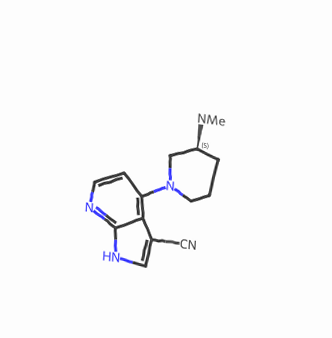 CN[C@H]1CCCN(c2ccnc3[nH]cc(C#N)c23)C1